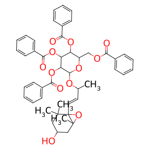 CC(C=CC12OC1(C)CC(O)CC2(C)C)OC1OC(COC(=O)c2ccccc2)C(OC(=O)c2ccccc2)C(OC(=O)c2ccccc2)C1OC(=O)c1ccccc1